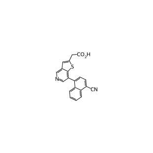 N#Cc1ccc(-c2cncc3cc(CC(=O)O)sc23)c2ccccc12